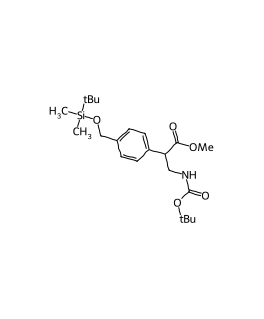 COC(=O)C(CNC(=O)OC(C)(C)C)c1ccc(CO[Si](C)(C)C(C)(C)C)cc1